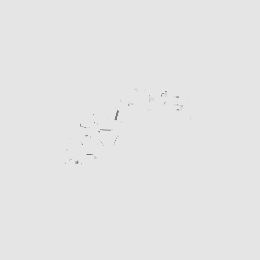 Cn1c(=O)n(C2CCC(=O)NC2=O)c2cccc(C#CCN3CCN(C(=O)OC(C)(C)C)CC3)c21